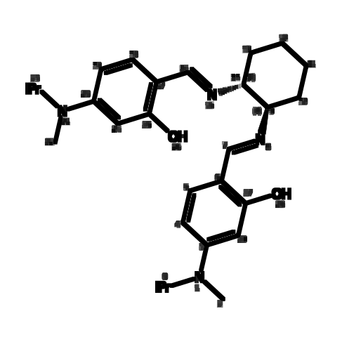 CC(C)N(C)c1ccc(C=N[C@@H]2CCCC[C@H]2N=Cc2ccc(N(C)C(C)C)cc2O)c(O)c1